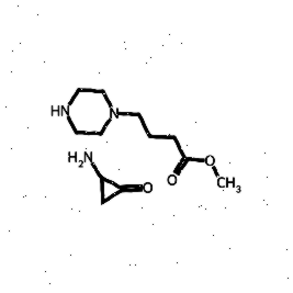 COC(=O)CCCN1CCNCC1.NC1CC1=O